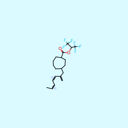 C=C(/C=C\C=C/C)CC1CCCCC(C(=O)OC(C(F)(F)F)C(F)(F)F)CC1